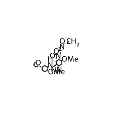 C=CC(=O)N1CC2(C1)CN(c1cc3c(Nc4cc(-c5ccco5)ccc4OC)ncnc3cc1OC)C(=O)O2